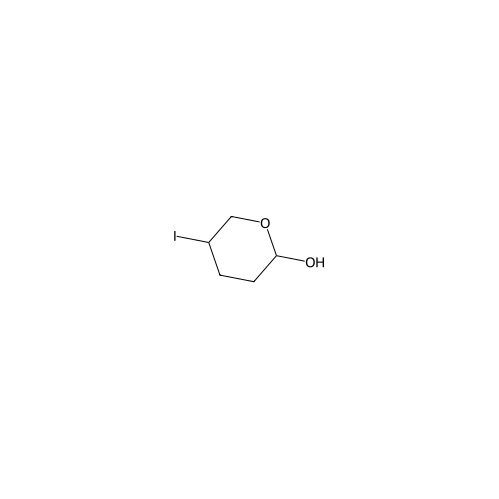 OC1CCC(I)CO1